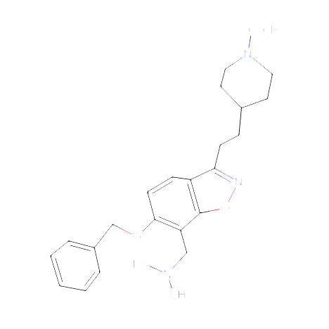 CN(C)Cc1c(OCc2ccccc2)ccc2c(CCC3CCN(C(=O)O)CC3)noc12